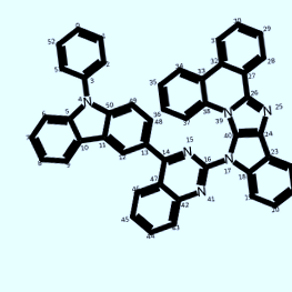 c1ccc(-n2c3ccccc3c3cc(-c4nc(-n5c6ccccc6c6nc7c8ccccc8c8ccccc8n7c65)nc5ccccc45)ccc32)cc1